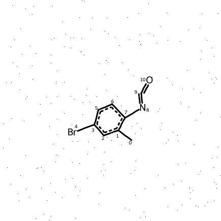 Cc1cc(Br)ccc1N=C=O